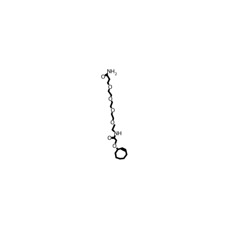 NC(=O)CCOCCOCCOCCOCCNC(=O)COC1C#CCCCCC1